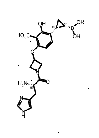 N[C@@H](Cc1c[nH]cn1)C(=O)N1CC(Oc2ccc([C@@H]3C[C@@H]3B(O)O)c(O)c2C(=O)O)C1